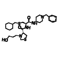 O=C(NC1CCN(Cc2ccccc2)CC1)[C@H](CSCC1CCCCC1)NC(=O)[C@@H]1CSCN1CCCO